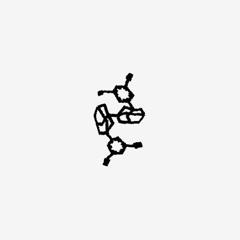 C#Cc1cc(C#C)cc(C23CC4CC(C2)CC(C25CC6CC(CC(c7cc(C#C)cc(C#C)c7)(C6)C2)C5)(C4)C3)c1